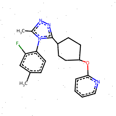 Cc1ccc(-n2c(C)nnc2C2CCC(Oc3ccccn3)CC2)c(F)c1